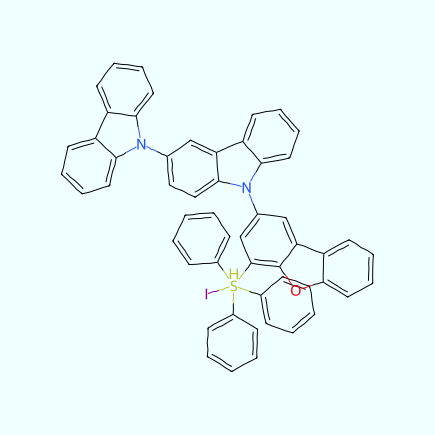 I[SH](c1ccccc1)(c1ccccc1)(c1ccccc1)c1cc(-n2c3ccccc3c3cc(-n4c5ccccc5c5ccccc54)ccc32)cc2c1oc1ccccc12